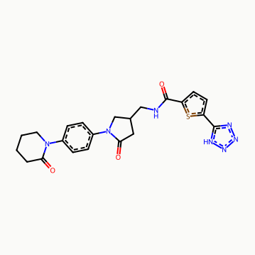 O=C(NCC1CC(=O)N(c2ccc(N3CCCCC3=O)cc2)C1)c1ccc(-c2nnn[nH]2)s1